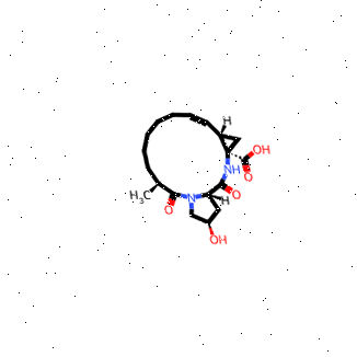 C[C@H]1CCCCC/C=C\[C@@H]2C[C@@]2(C(=O)O)NC(=O)[C@@H]2C[C@@H](O)CN2C1=O